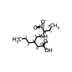 CCCC(CNC(CC)[N+](=O)[O-])CC(=O)O